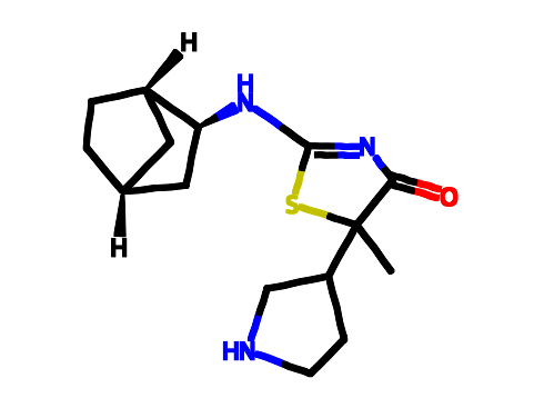 CC1(C2CCNC2)SC(N[C@H]2C[C@@H]3CC[C@H]2C3)=NC1=O